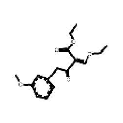 CCOC=C(C(=O)Cc1cccc(OC)c1)C(=O)OCC